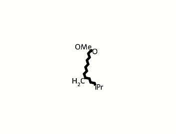 C=C(CCCCCCCC(=O)OC)CCCC(C)C